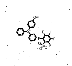 COc1ccc([S+](c2ccccc2)c2ccccc2)cc1.O=S(=O)([O-])c1c(F)c(F)c(F)c(F)c1F